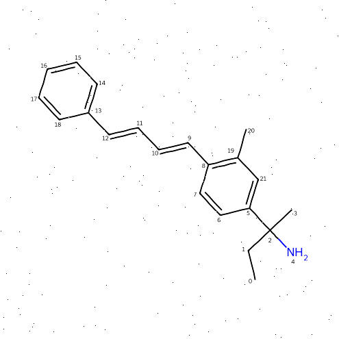 CCC(C)(N)c1ccc(/C=C/C=C/c2ccccc2)c(C)c1